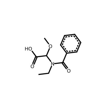 CCN(C(=O)c1ccccc1)C(OC)C(=O)O